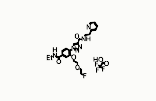 CCNC(=O)c1ccc(-n2cc(C(=O)NCCc3ccccn3)nn2)c(OCCOCCF)c1.O=C(O)C(F)(F)F